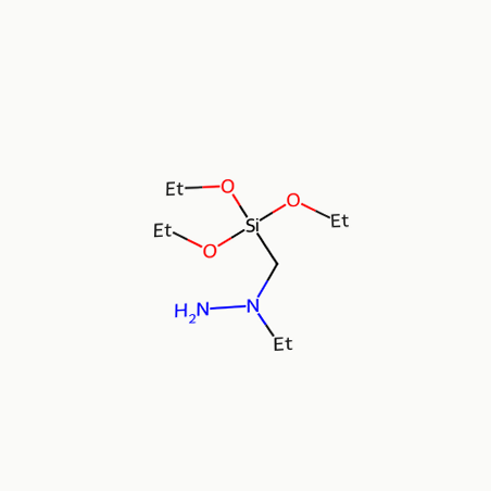 CCO[Si](CN(N)CC)(OCC)OCC